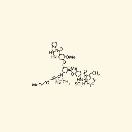 C=CC1=C(/C=C\C)C[C@H]2C(S(=O)(=O)O)Nc3cc(OCc4cc(COc5cc6c(cc5OC)C(=O)N5c7ccccc7C[C@H]5CN6)cc(N(CCOCCOCCOC)CC(C)(C)S)c4)c(OC)cc3C(=O)N12